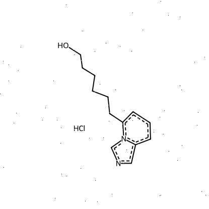 Cl.OCCCCCCc1cccc2cncn12